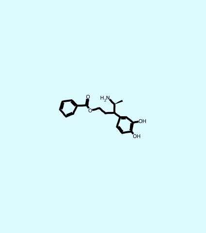 C[C@H](N)C(CCOC(=O)c1ccccc1)c1ccc(O)c(O)c1